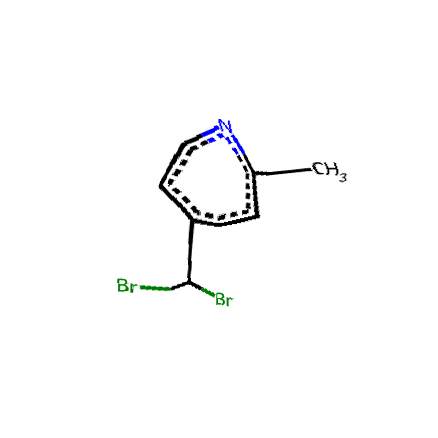 Cc1cc(C(Br)Br)ccn1